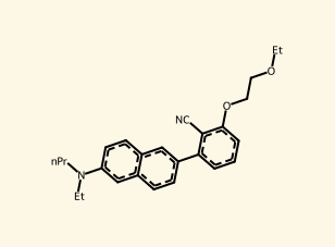 CCCN(CC)c1ccc2cc(-c3cccc(OCCOCC)c3C#N)ccc2c1